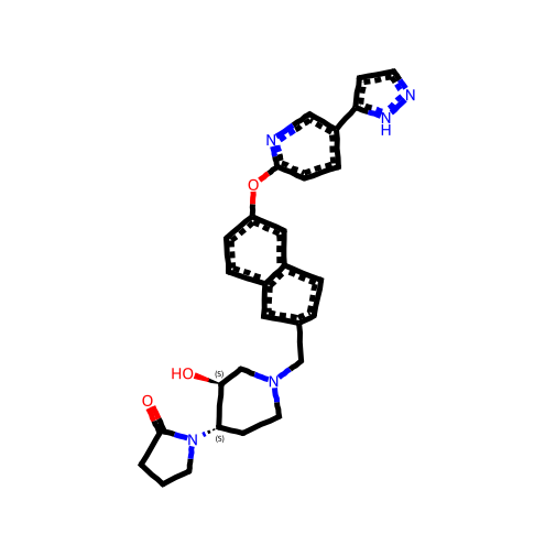 O=C1CCCN1[C@H]1CCN(Cc2ccc3cc(Oc4ccc(-c5ccn[nH]5)cn4)ccc3c2)C[C@@H]1O